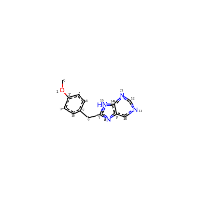 COc1ccc(Cc2nc3cncnc3[nH]2)cc1